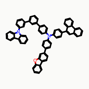 c1cc(-c2ccc(N(c3ccc(-c4ccc5c(c4)oc4ccccc45)cc3)c3ccc(-c4cc5ccccc5c5ccccc45)cc3)cc2)cc(-c2cccc(-n3c4ccccc4c4ccccc43)c2)c1